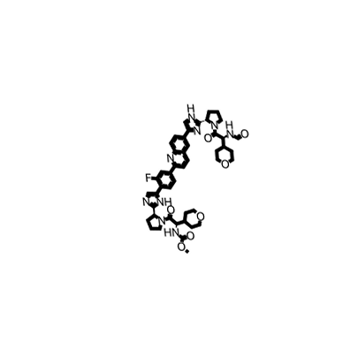 COC(=O)N[C@H](C(=O)N1CCC[C@H]1c1ncc(-c2ccc(-c3ccc4cc(-c5c[nH]c([C@@H]6CCCN6C(=O)[C@@H](NC=O)C6CCOCC6)n5)ccc4n3)cc2F)[nH]1)C1CCOCC1